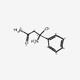 NC(=O)CC(N)(Cl)c1ccccc1